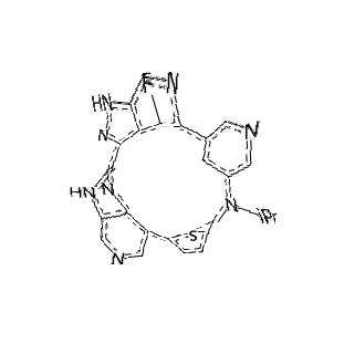 CC(C)n1c2cncc(c2)c2ncc3[nH]nc(c4nc5c(cncc5c5ccc1s5)[nH]4)c3c2F